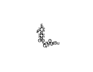 CC(C)(C)OC(=O)N1CCO[C@H](COC(=O)N2CCN(c3ccc(F)cc3F)CC2)C1